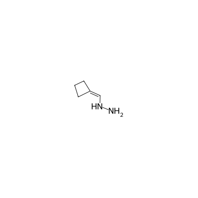 NNC=C1CCC1